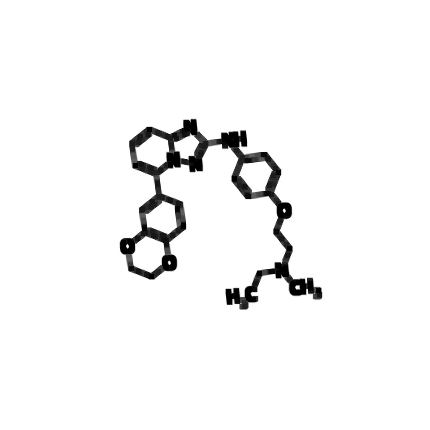 CCN(C)CCOc1ccc(Nc2nc3cccc(-c4ccc5c(c4)OCCO5)n3n2)cc1